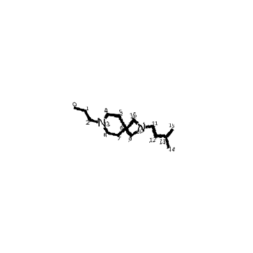 CCCN1CCC2(CC1)CN(CCC(C)C)C2